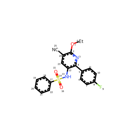 CCOc1nc(-c2ccc(F)cc2)c(NS(=O)(=O)c2ccccc2)cc1C#N